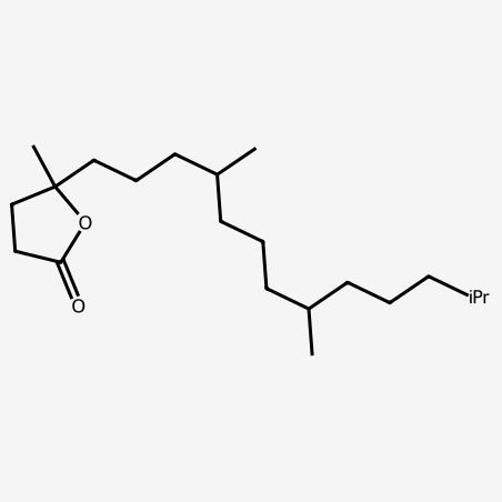 CC(C)CCCC(C)CCCC(C)CCCC1(C)CCC(=O)O1